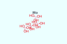 OB(O)O.OB(O)O.OB(O)O.OB(O)O.[Mo]